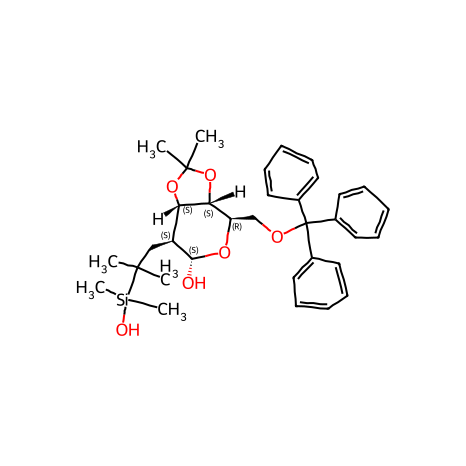 CC1(C)O[C@H]2[C@H](CC(C)(C)[Si](C)(C)O)[C@@H](O)O[C@H](COC(c3ccccc3)(c3ccccc3)c3ccccc3)[C@H]2O1